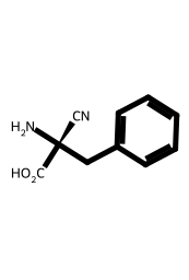 N#C[C@@](N)(Cc1ccccc1)C(=O)O